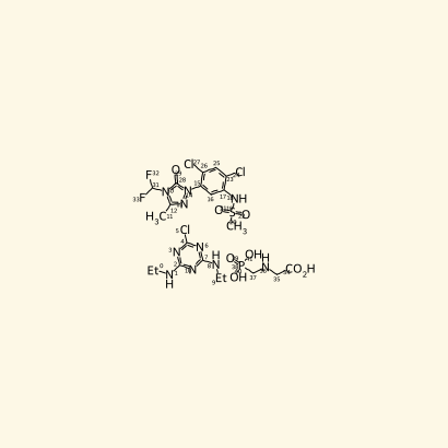 CCNc1nc(Cl)nc(NCC)n1.Cc1nn(-c2cc(NS(C)(=O)=O)c(Cl)cc2Cl)c(=O)n1C(F)F.O=C(O)CNCP(=O)(O)O